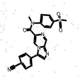 CN(C(=O)c1cn2c(-c3ccc(C#N)cc3)cnc2cn1)c1ccc(S(C)(=O)=O)cc1